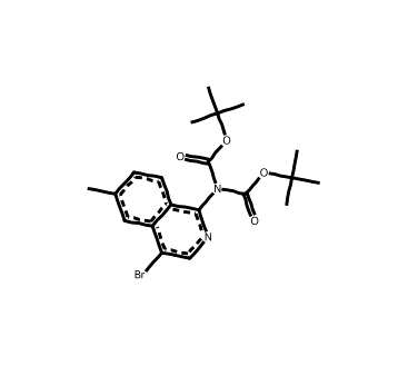 Cc1ccc2c(N(C(=O)OC(C)(C)C)C(=O)OC(C)(C)C)ncc(Br)c2c1